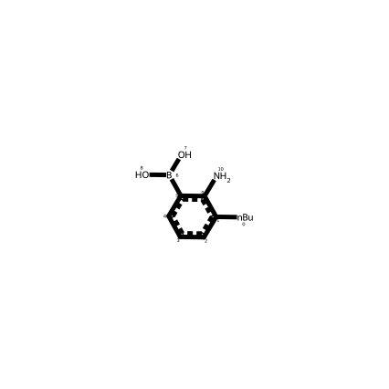 CCCCc1cccc(B(O)O)c1N